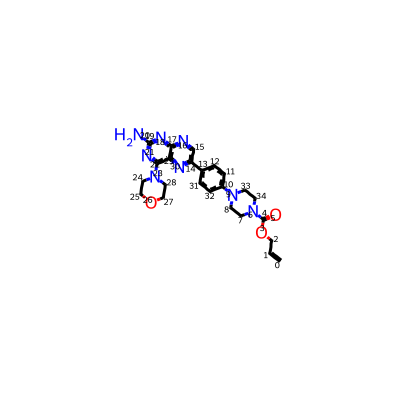 C=CCOC(=O)N1CCN(c2ccc(-c3cnc4nc(N)nc(N5CCOCC5)c4n3)cc2)CC1